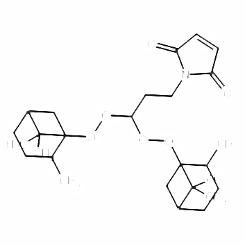 CC1CCC2CC1(OOC(CCN1C(=O)C=CC1=O)OOC13CC(CCC1C)C3(C)C)C2(C)C